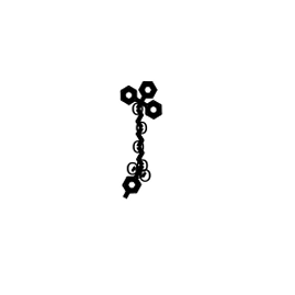 Cc1ccc(S(=O)(=O)OCCOCCOCCOC(c2ccccc2)(c2ccccc2)c2ccccc2)cc1